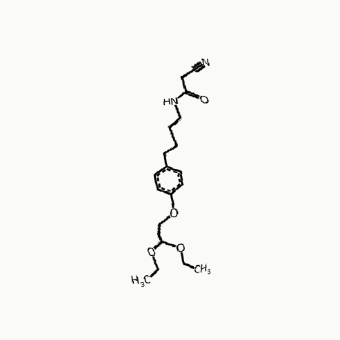 CCOC(COc1ccc(CCCCNC(=O)CC#N)cc1)OCC